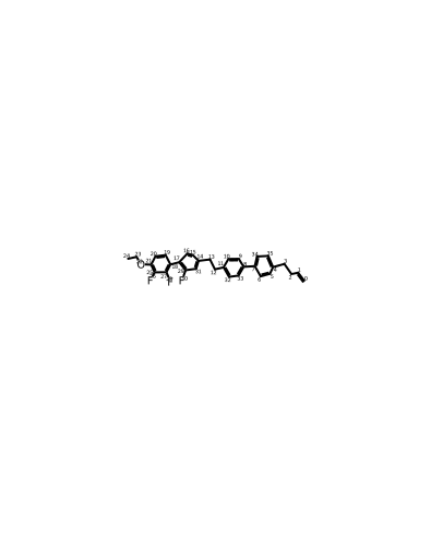 C=CCCc1ccc(-c2ccc(CCc3ccc(-c4ccc(OCC)c(F)c4F)c(F)c3)cc2)cc1